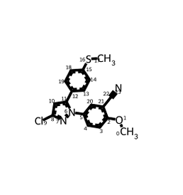 COc1ccc(-n2nc(Cl)cc2-c2ccc(SC)cc2)cc1C#N